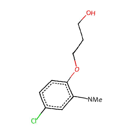 CNc1cc(Cl)ccc1OCCCO